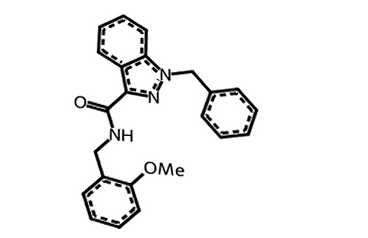 COc1ccccc1CNC(=O)c1nn(Cc2ccccc2)c2ccccc12